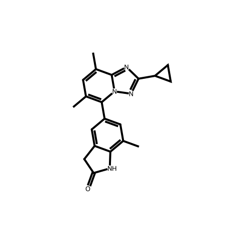 Cc1cc(-c2c(C)cc(C)c3nc(C4CC4)nn23)cc2c1NC(=O)C2